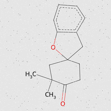 CC1(C)CC2(CCC1=O)Cc1ccccc1O2